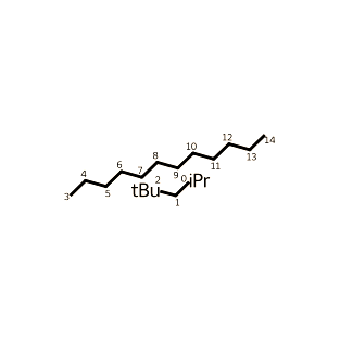 CC(C)CC(C)(C)C.CCCCCCCCCCCC